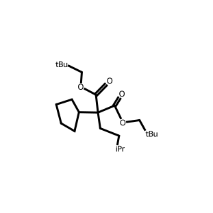 CC(C)CCC(C(=O)OCC(C)(C)C)(C(=O)OCC(C)(C)C)C1CCCC1